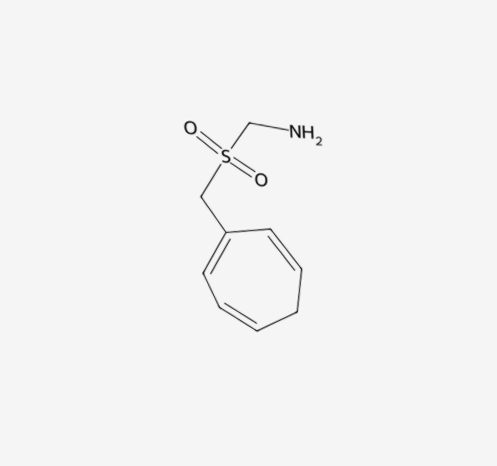 NCS(=O)(=O)CC1=CC=CCC=C1